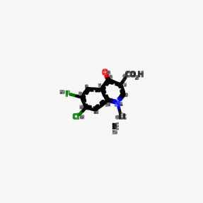 CCn1cc(C(=O)O)c(=O)c2cc(F)c(Cl)cc21.[B]